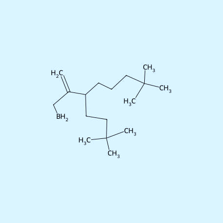 BCC(=C)C(CCCC(C)(C)C)CCC(C)(C)C